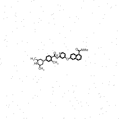 CNC(=O)c1cccc2cc(Oc3ccnc(NC(=O)c4ccc(N5CC(C)NC(C)C5)cc4C)c3)ccc12